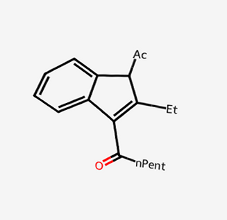 CCCCCC(=O)C1=C(CC)C(C(C)=O)c2ccccc21